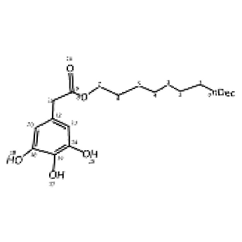 CCCCCCCCCCCCCCCCCOC(=O)Cc1cc(O)c(O)c(O)c1